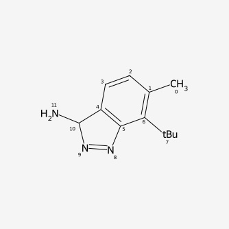 Cc1ccc2c(c1C(C)(C)C)N=NC2N